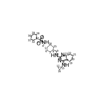 O=S(=O)(NC[C@H]1CC[C@H](CNc2nc(NC3CC3)c3ccccc3n2)CC1)c1ccccc1